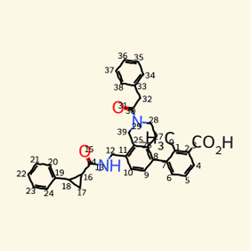 Cc1c(C(=O)O)cccc1-c1ccc(CNC(=O)C2CC2c2ccccc2)c2c1CCN(C(=O)Cc1ccccc1)C2